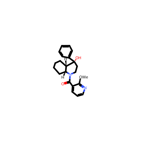 COc1ncccc1C(=O)N1CC[C@](O)(c2ccccc2)[C@H]2CCCC[C@H]21